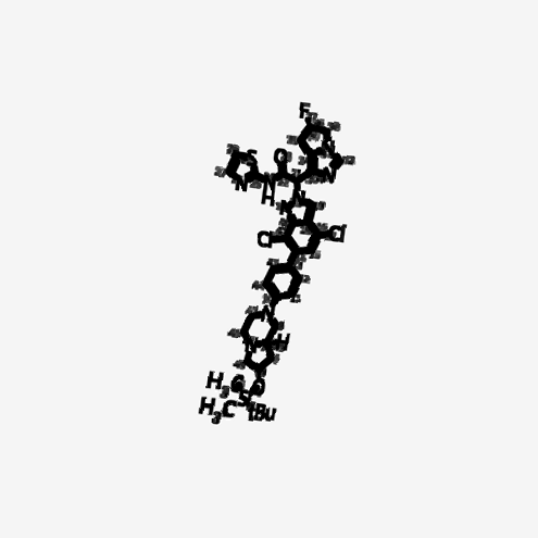 CC(C)(C)[Si](C)(C)O[C@@H]1C[C@H]2CN(c3ccc(-c4cc(Cl)c5cn(C(C(=O)Nc6nccs6)c6ncn7c6C[C@@H](F)C7)nc5c4Cl)cc3)CCN2C1